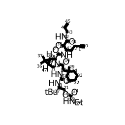 C#CCCC(NC(=O)[C@@H]1[C@@H]2[C@H](CN1C(=O)[C@@H](NC(=O)N[C@H](COC(=O)NCC)C(C)(C)C)C1(C)CCCCC1)C2(C)C)C(=O)C(=O)NCC=C